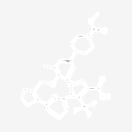 COC(=O)N1CCC(c2ccc(OCC3=C(c4cccc(-n5ncc(C(=O)O)c5C(F)(F)F)n4)CCC3)c(C)c2)CC1